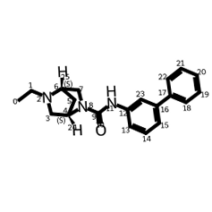 CCN1C[C@@H]2C[C@H]1CN2C(=O)Nc1cccc(-c2ccccc2)c1